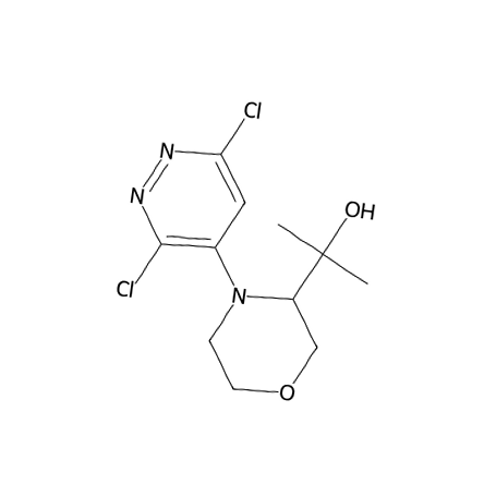 CC(C)(O)C1COCCN1c1cc(Cl)nnc1Cl